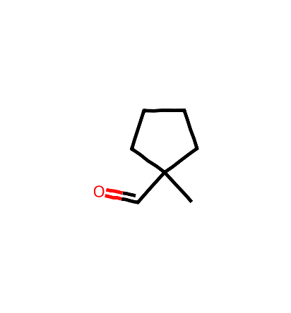 CC1(C=O)CCCC1